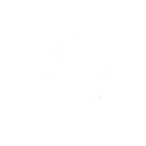 Cc1nc(NC(=O)NC(=O)C(C)(C)C)ccc1Oc1ccnc(-c2cn(COC(=O)C(C)(C)C)nn2)c1